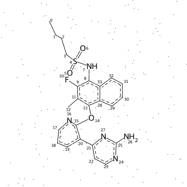 CCCCS(=O)(=O)Nc1c(F)c(C)c(Oc2ncccc2-c2ccnc(N)n2)c2ccccc12